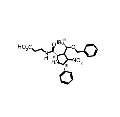 CC[C@H](C)C(OCc1ccccc1)C1C([N+](=O)[O-])[C@H](c2ccccc2)N[C@@H]1C(=O)NCCC(=O)O